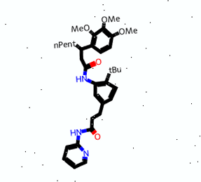 CCCCCC(CC(=O)Nc1cc(CCC(=O)Nc2ccccn2)ccc1C(C)(C)C)c1ccc(OC)c(OC)c1OC